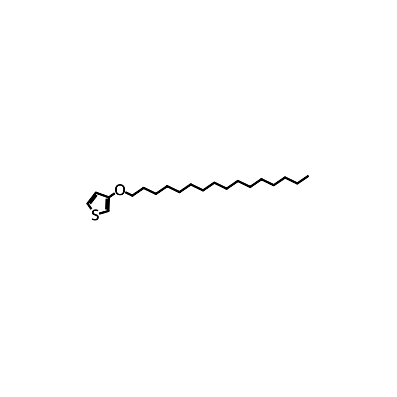 CCCCCCCCCCCCCCCCOc1ccsc1